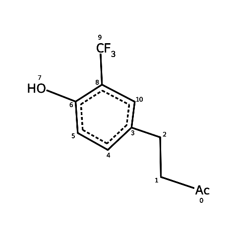 CC(=O)CCc1ccc(O)c(C(F)(F)F)c1